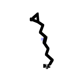 CCCC/C=C/CCC1CO1